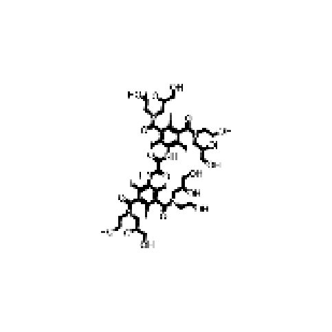 O=C(Nc1c(I)c(C(=O)N(CCO)CC(O)CO)c(I)c(C(=O)N(CCO)CC(O)CO)c1I)C(=O)Nc1c(I)c(C(=O)N(CCO)CC(O)CO)c(I)c(C(=O)N(CCO)CC(O)CO)c1I